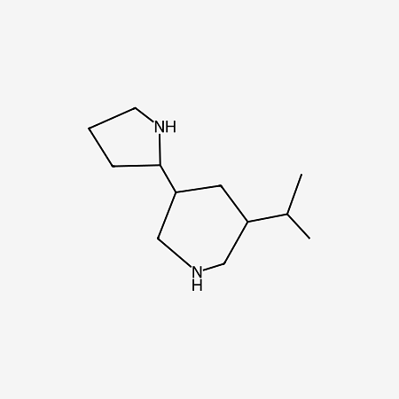 CC(C)C1CNCC(C2CCCN2)C1